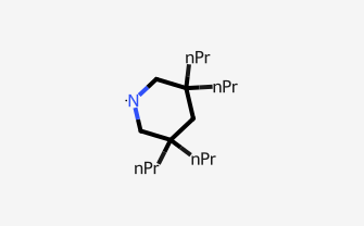 CCCC1(CCC)C[N]CC(CCC)(CCC)C1